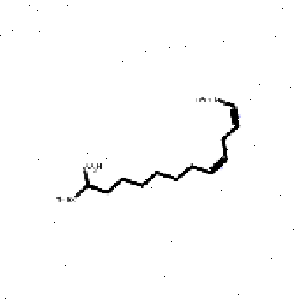 CCCCC/C=C\C/C=C\CCCCCCC(CCCCCC)C(=O)O